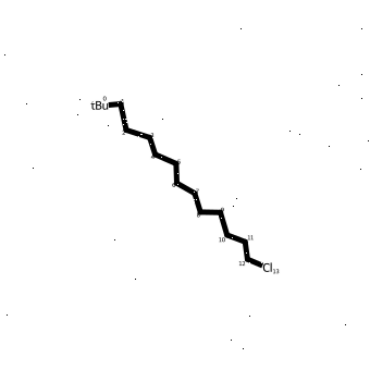 CC(C)(C)[CH]CCCCCCCCCCCCl